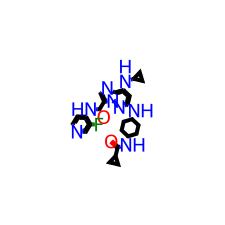 O=C(Nc1ccncc1F)c1cnc2c(NC3CC3)cc(N[C@H]3CC[C@H](NC(=O)C4CC4)CC3)nn12